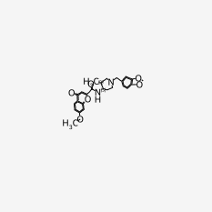 COc1ccc2c(=O)cc(C(=O)N[C@H]3CCN(Cc4ccc5c(c4)OCO5)C[C@H]3C)oc2c1